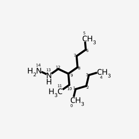 CCCCC.CCCCC(CC)CNN